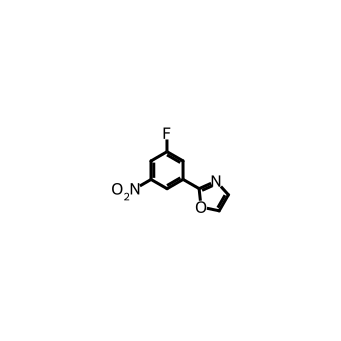 O=[N+]([O-])c1cc(F)cc(-c2ncco2)c1